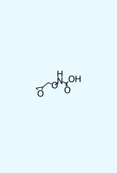 O=C(O)NOCC1CO1